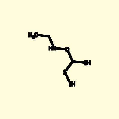 CCNOC(S)SS